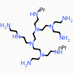 CCCNCCN(CCN)CCN(CCNCCN)CCN(CCNC(C)C)CCN(CCN)CCN